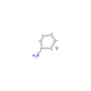 Nc1ccccc1.[U]